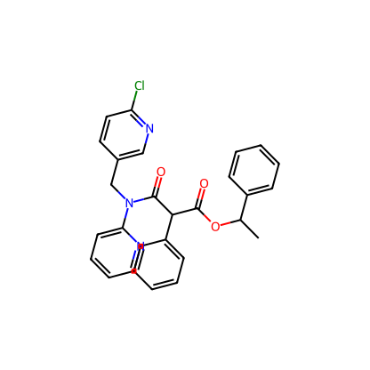 CC(OC(=O)C(C(=O)N(Cc1ccc(Cl)nc1)c1ccccn1)c1ccccc1)c1ccccc1